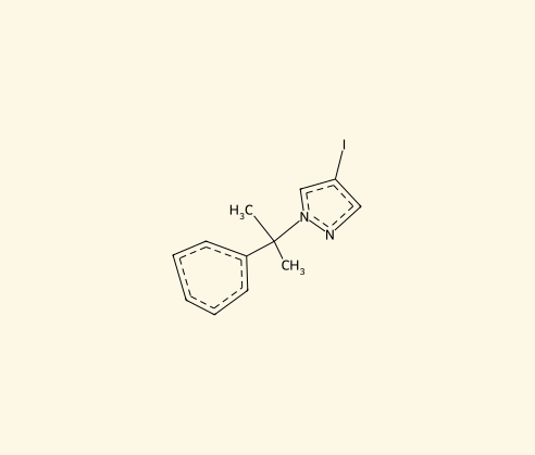 CC(C)(c1ccccc1)n1cc(I)cn1